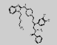 CN(CC(CCN1CCC(Nc2nc3ccccc3n2CCOCC(F)(F)F)CC1)c1ccc(Cl)c(Cl)c1)C(=O)c1ccccc1